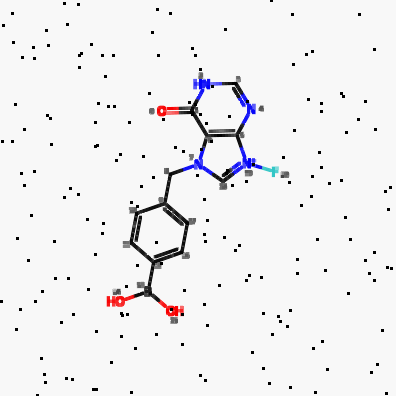 O=c1[nH]cnc2c1n(Cc1ccc(B(O)O)cc1)c[n+]2F